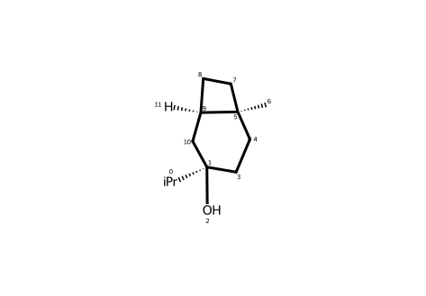 CC(C)[C@@]1(O)CC[C@]2(C)CC[C@@H]2C1